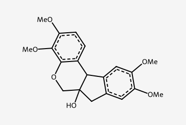 COc1cc2c(cc1OC)C1c3ccc(OC)c(OC)c3OCC1(O)C2